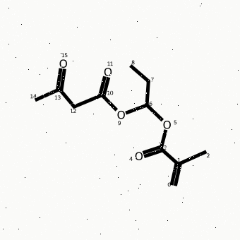 C=C(C)C(=O)OC(CC)OC(=O)CC(C)=O